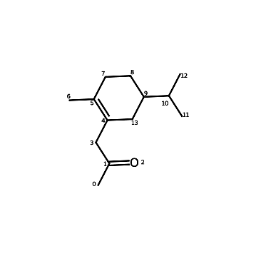 CC(=O)CC1=C(C)CCC(C(C)C)C1